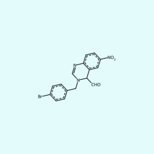 O=CC1c2cc([N+](=O)[O-])ccc2N=CN1Cc1ccc(Br)cc1